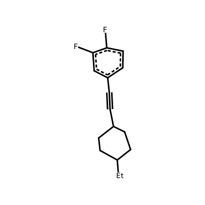 CCC1CCC(C#Cc2ccc(F)c(F)c2)CC1